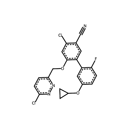 N#Cc1cc(-c2cc(OC3CC3)ccc2F)c(OCc2ccc(Cl)nn2)cc1Cl